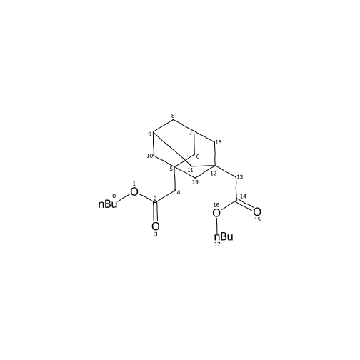 CCCCOC(=O)CC12CC3CC(C1)CC(CC(=O)OCCCC)(C3)C2